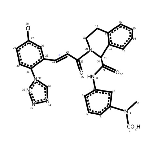 CN(C(=O)O)c1cccc(NC(=O)[C@@H]2c3ccccc3CCN2C(=O)/C=C/c2cc(Cl)ccc2-n2cnnn2)c1